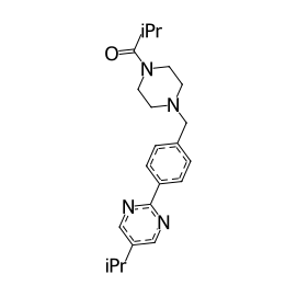 CC(C)C(=O)N1CCN(Cc2ccc(-c3ncc(C(C)C)cn3)cc2)CC1